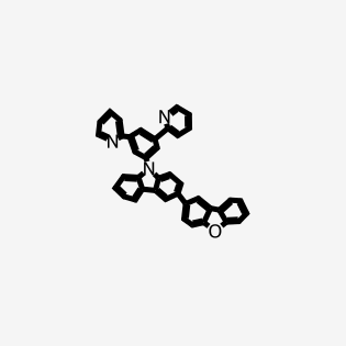 c1ccc(-c2cc(-c3ccccn3)cc(-n3c4ccccc4c4cc(-c5ccc6oc7ccccc7c6c5)ccc43)c2)nc1